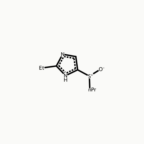 CCC[S+]([O-])c1cnc(CC)[nH]1